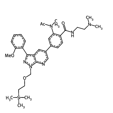 COc1ccccc1-c1nn(COCC[Si](C)(C)C)c2ncc(-c3ccc(C(=O)NCCN(C)C)c(N(C)C(C)=O)c3)cc12